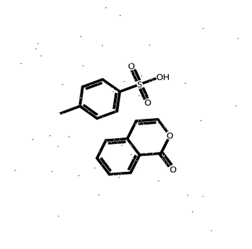 Cc1ccc(S(=O)(=O)O)cc1.O=c1occc2ccccc12